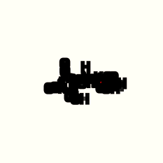 O=COCN1CCN(COC=O)CCN(CC(=O)NCCc2cn(CC(O)(P(=O)(O)O)P(=O)(O)O)cn2)CCN(CC(=O)O)CC1